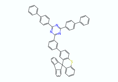 c1ccc(-c2ccc(-c3nc(-c4ccc(-c5ccccc5)cc4)nc(-c4cccc(-c5ccc6c(c5)C5(c7ccccc7S6)c6ccccc6-c6ccccc65)c4)n3)cc2)cc1